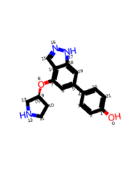 Oc1ccc(-c2cc(O[C@H]3CCNC3)c3cn[nH]c3c2)cc1